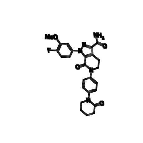 COc1cc(-n2nc(C(N)=O)c3c2C(=O)N(c2ccc(N4CCCCC4=O)cc2)CC3)ccc1F